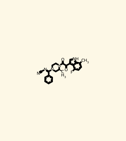 Cc1ccc(F)c2c(C(=O)C(=O)N3CCN(/C(=N/C#N)c4ccccc4)C[C@@H]3C)c[nH]c12